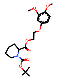 COc1ccc(OCCOC(=O)C2CCCCN2C(=O)OC(C)(C)C)cc1OC